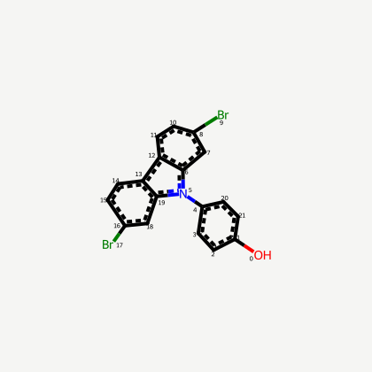 Oc1ccc(-n2c3cc(Br)ccc3c3ccc(Br)cc32)cc1